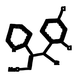 CCC(/C(=C/OC)c1ccccn1)c1ccc(Cl)cc1Cl